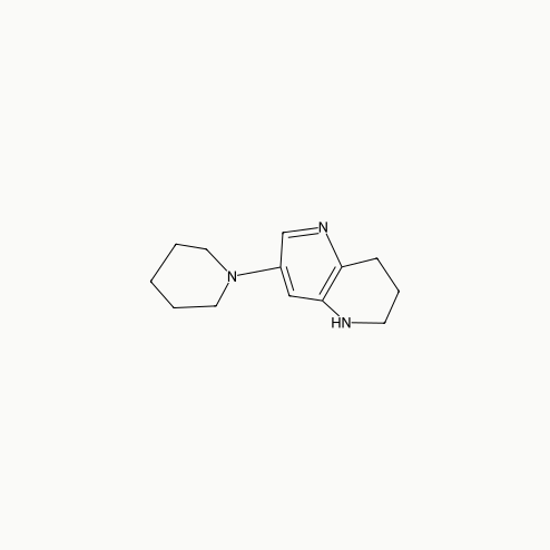 c1nc2c(cc1N1CCCCC1)NCCC2